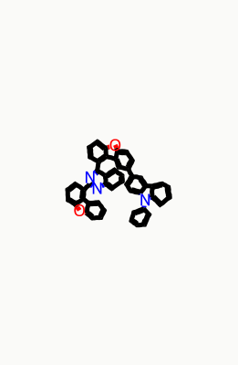 c1ccc(-n2c3ccccc3c3cc(-c4ccc5oc6cccc(-c7nc(-c8cccc9oc%10ccccc%10c89)nc8ccccc78)c6c5c4)ccc32)cc1